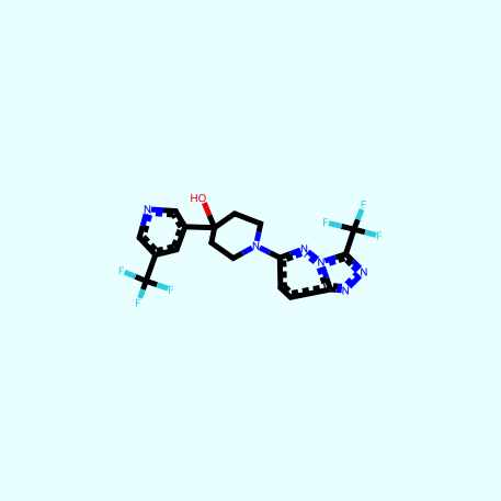 OC1(c2cncc(C(F)(F)F)c2)CCN(c2ccc3nnc(C(F)(F)F)n3n2)CC1